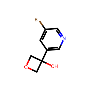 OC1(c2cncc(Br)c2)COC1